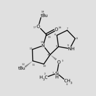 C[SiH](C)O[C@]1(C2CCCN2)C[C@H](C(C)(C)C)CN1C(=O)OC(C)(C)C